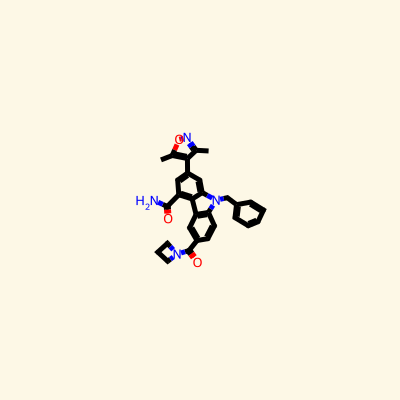 Cc1noc(C)c1-c1cc(C(N)=O)c2c3cc(C(=O)N4CCC4)ccc3n(Cc3ccccc3)c2c1